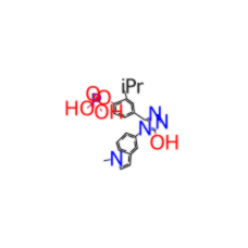 CC(C)c1cc(-c2nnc(O)n2-c2ccc3c(ccn3C)c2)ccc1OP(=O)(O)O